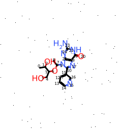 CC(O)C(CO)OC(C)n1c(-c2cccnc2)nc2c(=O)[nH]c(N)nc21